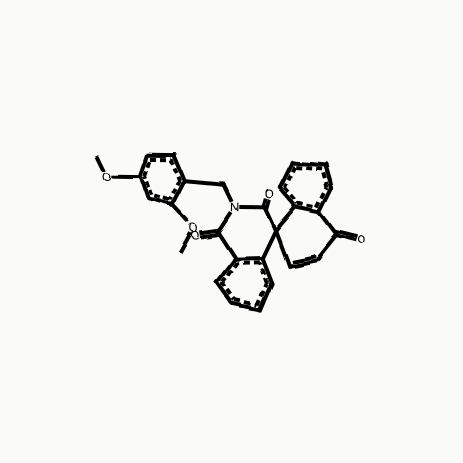 COc1ccc(CN2C(=O)c3ccccc3C3(C=CC(=O)c4ccccc43)C2=O)c(OC)c1